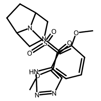 COc1cccc(OC)c1S(=O)(=O)N1C2CCC1CN(C(=O)c1cnn[nH]1)C2